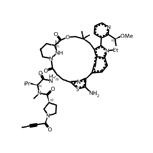 CC#CC(=O)N1CC[C@H](C(=O)N(C)[C@H](C(=O)N[C@H]2Cc3nc(c(N)s3)-c3ccc4c(c3)c(c(-c3cccnc3[C@H](C)OC)n4CC)CC(C)(C)COC(=O)[C@@H]3CCCN(N3)C2=O)C(C)C)C1